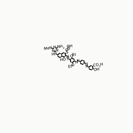 CCOc1cc(N=Nc2c(SOOO)cc3cc(Nc4nc(N)nc(NC)n4)ccc3c2O)c(OCC)cc1N=Nc1ccc(N=Nc2ccc(O)c(C(=O)O)c2)cc1